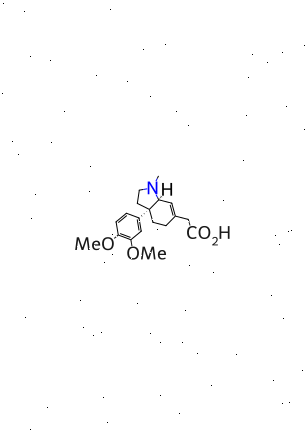 COc1ccc([C@@]23CCC(CC(=O)O)=C[C@@H]2N(C)CC3)cc1OC